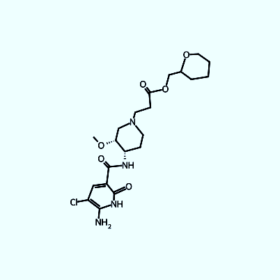 CO[C@@H]1CN(CCC(=O)OCC2CCCCO2)CC[C@@H]1NC(=O)c1cc(Cl)c(N)[nH]c1=O